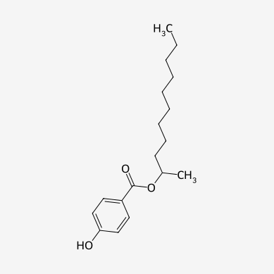 CCCCCCCCCC(C)OC(=O)c1ccc(O)cc1